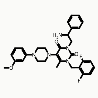 COc1cccc(N2CCN(c3c(C)n(Cc4c(F)cccc4F)c(=O)n(CC(N)c4ccccc4)c3=O)CC2)c1